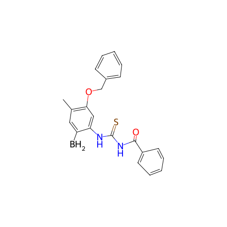 Bc1cc(C)c(OCc2ccccc2)cc1NC(=S)NC(=O)c1ccccc1